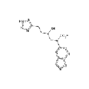 O=C(O)N(CC(S)CCc1nn[nH]n1)c1cnc2sncc2c1